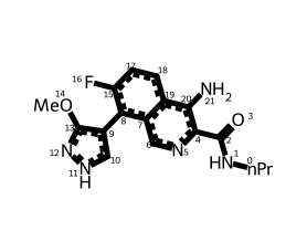 CCCNC(=O)c1ncc2c(-c3c[nH]nc3OC)c(F)ccc2c1N